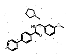 COc1cccc([C@@H](CN2CCCC2)NC(=O)c2ccc(-c3ccncc3)cc2)c1